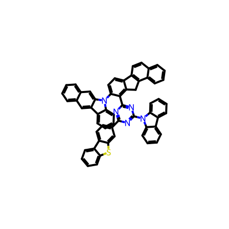 c1ccc2cc3c(cc2c1)c1ccccc1n3-c1ccc2c(c1-c1nc(-c3ccc4c(c3)sc3ccccc34)nc(-n3c4ccccc4c4ccccc43)n1)Cc1c-2ccc2ccccc12